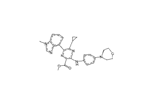 COC(=O)c1nc(-c2cccc3c2ncn3C)c(C2CC2)nc1Nc1ccc(N2CCOCC2)cc1